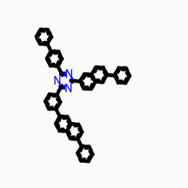 c1ccc(-c2ccc(-c3nc(-c4cccc(-c5ccc6cc(-c7ccccc7)ccc6c5)c4)nc(-c4ccc5cc(-c6ccccc6)ccc5c4)n3)cc2)cc1